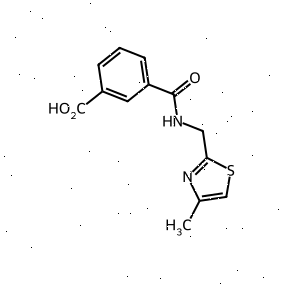 Cc1csc(CNC(=O)c2cccc(C(=O)O)c2)n1